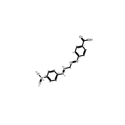 O=C(O)c1ccc(N=NCN=Nc2ccc([N+](=O)[O-])cc2)cc1